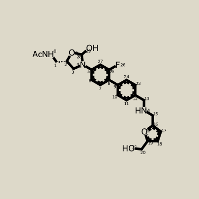 CC(=O)NC[C@H]1CN(c2ccc(-c3ccc(CNCc4ccc(CO)o4)cc3)c(F)c2)C(O)O1